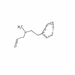 CN(C[C]=O)CCc1ccccc1